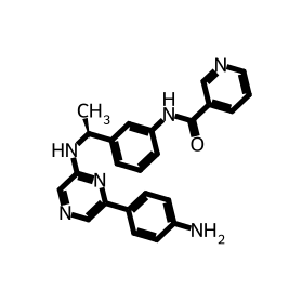 C[C@H](Nc1cncc(-c2ccc(N)cc2)n1)c1cccc(NC(=O)c2cccnc2)c1